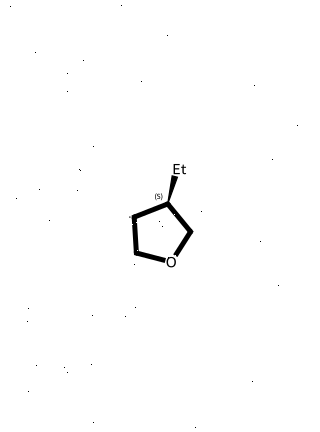 CC[C@@H]1[CH]COC1